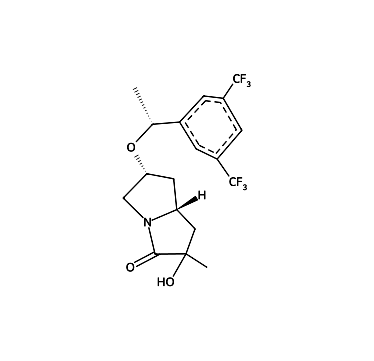 C[C@@H](O[C@@H]1C[C@@H]2CC(C)(O)C(=O)N2C1)c1cc(C(F)(F)F)cc(C(F)(F)F)c1